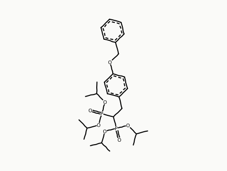 CC(C)OP(=O)(OC(C)C)C(Cc1ccc(OCc2ccccc2)cc1)P(=O)(OC(C)C)OC(C)C